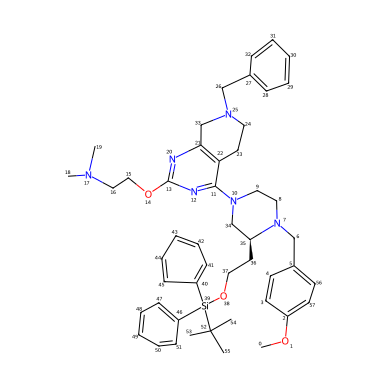 COc1ccc(CN2CCN(c3nc(OCCN(C)C)nc4c3CCN(Cc3ccccc3)C4)C[C@@H]2CCO[Si](c2ccccc2)(c2ccccc2)C(C)(C)C)cc1